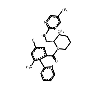 Cc1cc(F)cc(C(=O)N2CCC[C@@H](C)[C@H]2CNc2ncc(C(F)(F)F)cn2)c1-c1ncccn1